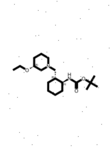 CCO[C@@H]1CCCN(C[C@H]2CCCC[C@@H]2NC(=O)OC(C)(C)C)C1